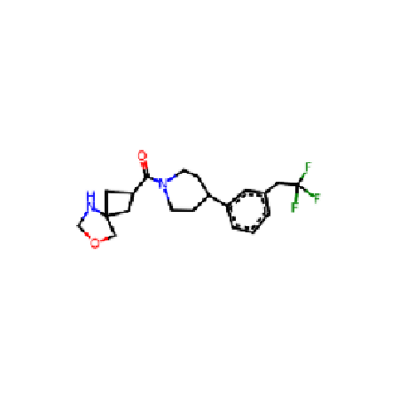 O=C(C1CC2(COCN2)C1)N1CCC(c2cccc(CC(F)(F)F)c2)CC1